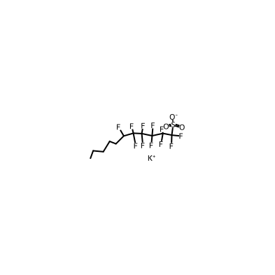 CCCCCC(F)C(F)(F)C(F)(F)C(F)(F)C(F)(F)C(F)(F)S(=O)(=O)[O-].[K+]